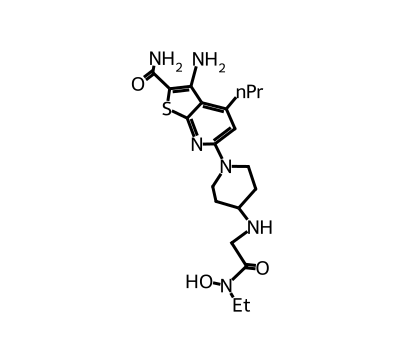 CCCc1cc(N2CCC(NCC(=O)N(O)CC)CC2)nc2sc(C(N)=O)c(N)c12